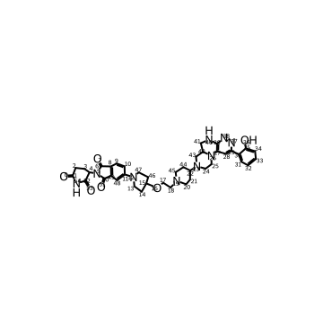 O=C1CCC(N2C(=O)c3ccc(N4CCC(OCCN5CCC(N6CCN7c8cc(-c9ccccc9O)nnc8NCC7C6)CC5)CC4)cc3C2=O)C(=O)N1